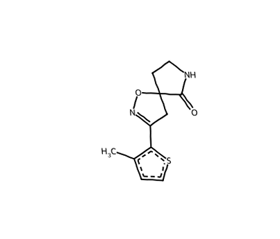 Cc1ccsc1C1=NOC2(CCNC2=O)C1